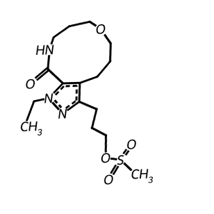 CCn1nc(CCCOS(C)(=O)=O)c2c1C(=O)NCCCOCCC2